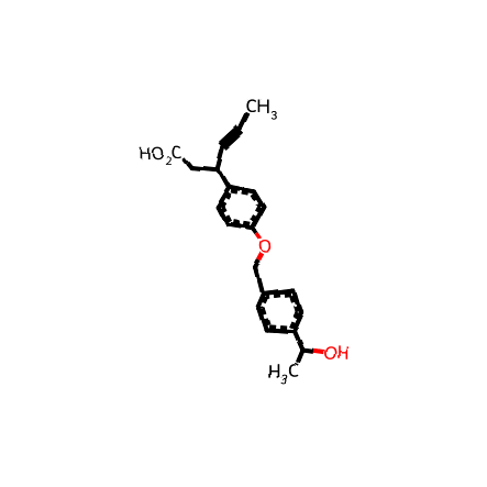 CC#CC(CC(=O)O)c1ccc(OCc2ccc(C(C)O)cc2)cc1